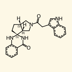 O=C1N[C@]2(CC[C@@H]3CN(C(=O)Cc4c[nH]c5ccccc45)C[C@@H]32)Nc2ccccc21